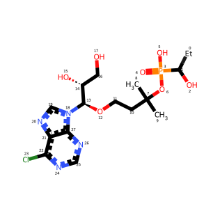 CCC(O)P(=O)(O)OC(C)(C)CCO[C@H]([C@H](O)CO)n1cnc2c(Cl)ncnc21